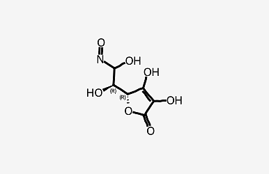 O=NC(O)[C@H](O)[C@H]1OC(=O)C(O)=C1O